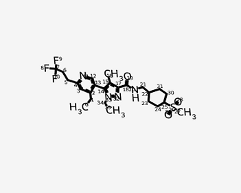 CCc1cc(CCC(F)(F)F)ncc1-c1c(C)c(C(=O)NCC2CCC(S(C)(=O)=O)CC2)nn1CC